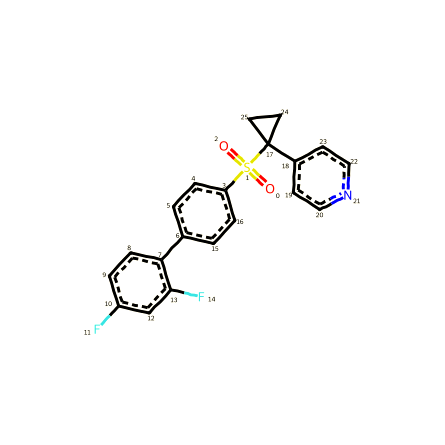 O=S(=O)(c1ccc(-c2ccc(F)cc2F)cc1)C1(c2ccncc2)CC1